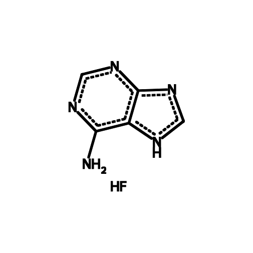 F.Nc1ncnc2nc[nH]c12